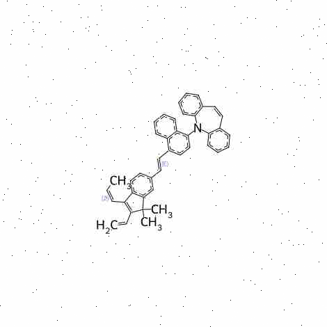 C=CC1=C(/C=C\C)c2ccc(/C=C/c3ccc(N4c5ccccc5C=Cc5ccccc54)c4ccccc34)cc2C1(C)C